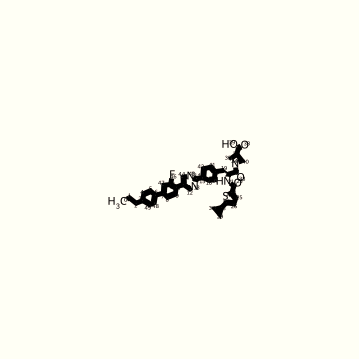 CCCc1ccc(-c2ccc(-c3cnc(-c4ccc(C[C@H](NC(=O)c5ccc(C6CC6)s5)C(=O)N5CC(C(=O)O)C5)cc4)nc3)c(F)c2)cc1